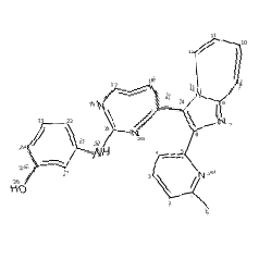 Cc1cccc(-c2nc3ccccn3c2-c2ccnc(Nc3cccc(O)c3)n2)n1